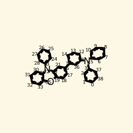 c1ccc(N(c2ccccc2)c2cccc(-c3ccc4c(c3)N(c3ccccc3)c3ccccc3O4)c2)cc1